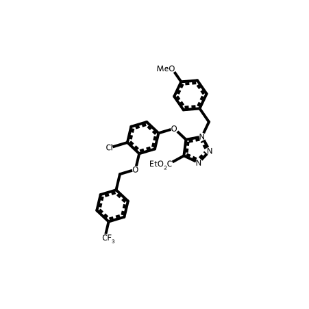 CCOC(=O)c1nnn(Cc2ccc(OC)cc2)c1Oc1ccc(Cl)c(OCc2ccc(C(F)(F)F)cc2)c1